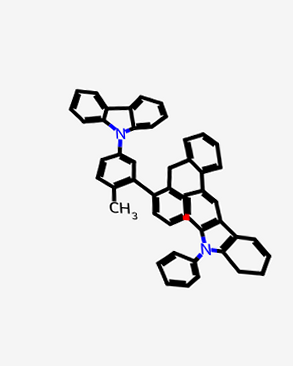 Cc1ccc(-n2c3ccccc3c3ccccc32)cc1-c1ccccc1Cc1ccccc1-c1ccc2c(c1)c1c(n2-c2ccccc2)CCC=C1